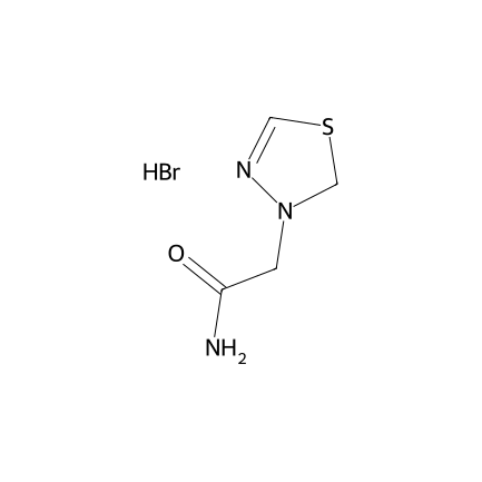 Br.NC(=O)CN1CSC=N1